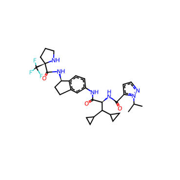 CC(C)n1nccc1C(=O)N[C@H](C(=O)Nc1ccc2c(c1)CC[C@H]2NC(=O)[C@]1(C(F)(F)F)CCCN1)C(C1CC1)C1CC1